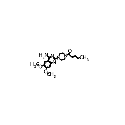 CC/C=C/C(=O)N1CCN(c2nc(N)c3cc(OC)c(OC)cc3n2)CC1